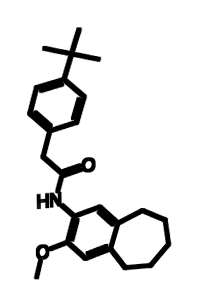 COc1cc2c(cc1NC(=O)Cc1ccc(C(C)(C)C)cc1)CCCCC2